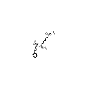 COC(=O)CCCCCCN(C)C[C@@]1(COCc2ccccc2)CC1(F)F